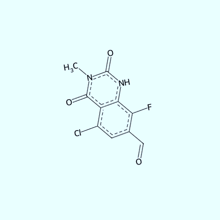 Cn1c(=O)[nH]c2c(F)c(C=O)cc(Cl)c2c1=O